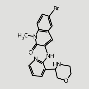 Cn1c(=O)c(Nc2ncccc2C2COCCN2)cc2cc(Br)ccc21